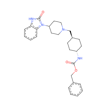 O=C(N[C@H]1CC[C@H](CN2CCC(n3c(=O)[nH]c4ccccc43)CC2)CC1)OCc1ccccc1